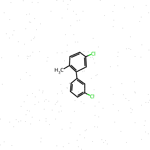 Cc1ccc(Cl)cc1-c1[c]ccc(Cl)c1